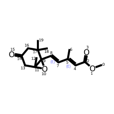 COC(=O)/C=C(C)/C=C/C12OC1(C)CC(=O)CC2(C)C